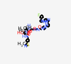 Cc1ncsc1-c1ccc(CNC(=O)[C@@H]2C[C@@H](O)CN2C(=O)[C@@H](NC(=O)CCOCCNC(=O)CN2CCN(c3cccc(-c4cnc5ccc(N6CCC[C@@H]6c6cccc(F)c6)nn45)n3)CC2)C(C)(C)C)cc1